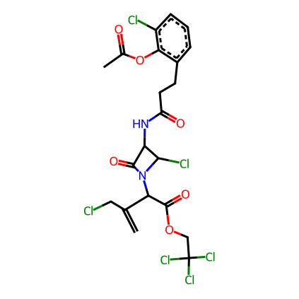 C=C(CCl)C(C(=O)OCC(Cl)(Cl)Cl)N1C(=O)C(NC(=O)CCc2cccc(Cl)c2OC(C)=O)C1Cl